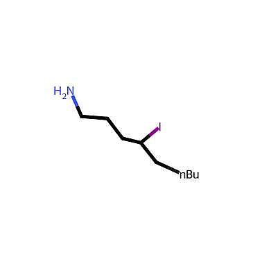 CCCCCC(I)CCCN